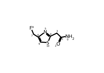 NC(=O)Cc1nc(CF)cs1